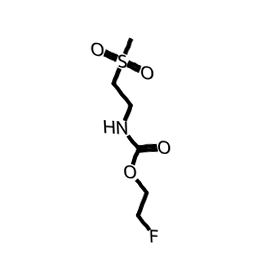 CS(=O)(=O)CCNC(=O)OCCF